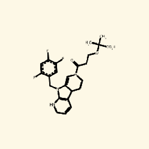 CC(C)(OCCC(=O)N1C=C2C(CC1)C1=C(NCC=C1)N2Cc1cc(F)c(F)cc1F)C(=O)O